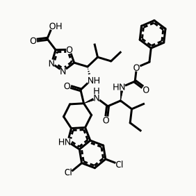 CCC(C)[C@H](NC(=O)OCc1ccccc1)C(=O)N[C@]1(C(=O)N[C@H](c2nnc(C(=O)O)o2)C(C)CC)CCc2[nH]c3c(Cl)cc(Cl)cc3c2C1